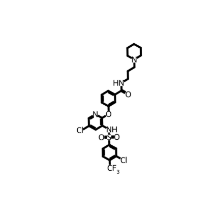 O=C(NCCCN1CCCCC1)c1cccc(Oc2ncc(Cl)cc2NS(=O)(=O)c2ccc(C(F)(F)F)c(Cl)c2)c1